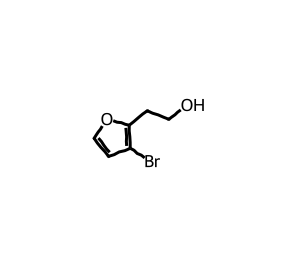 OCCc1occc1Br